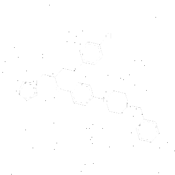 Clc1ccc(CCC(Cn2ccnc2)Oc2ccc(N3CCN(Cc4ccccc4)CC3)cc2)cc1